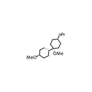 CCC[C@H]1CC[C@@](OC)([C@H]2CC[C@H](OC)CC2)CC1